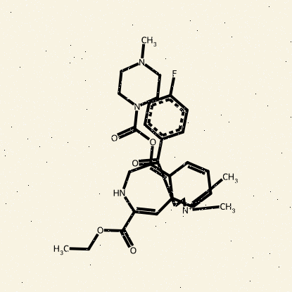 CCOC(=O)C1=CC23C(=CC=CC2=C(OC(=O)N2CCN(C)CC2)CN1)[N+](C)(C)CC3C(=O)c1ccc(F)cc1